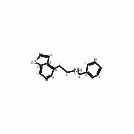 c1ccc(CNCCc2cccc3sccc23)cc1